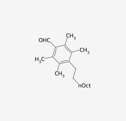 CCCCCCCCCCc1c(C)c(C)c(C=O)c(C)c1C